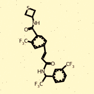 O=C(C=Cc1ccc(C(=O)NC2CSC2)c(C(F)(F)F)c1)NC(c1cccc(C(F)(F)F)c1)C(F)(F)F